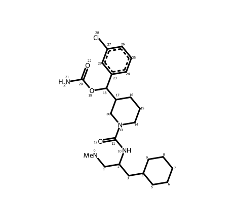 CNCC(CC1CCCCC1)NC(=O)N1CCCC(C(OC(N)=O)c2cccc(Cl)c2)C1